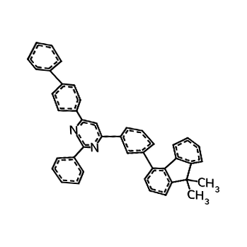 CC1(C)c2ccccc2-c2c(-c3cccc(-c4cc(-c5ccc(-c6ccccc6)cc5)nc(-c5ccccc5)n4)c3)cccc21